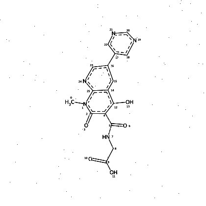 Cn1c(=O)c(C(=O)NCC(=O)O)c(O)c2cc(-c3cncnc3)cnc21